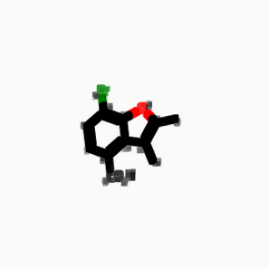 Cc1oc2c(Br)ccc(C(=O)O)c2c1C